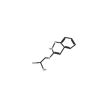 OC(O)CSC1=Cc2ccccc2ON1